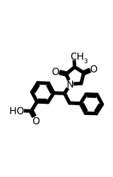 CC1C(=O)CN(C(Cc2ccccc2)c2cccc(C(=O)O)c2)C1=O